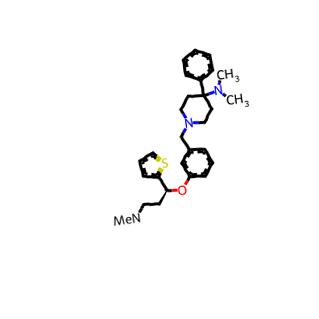 CNCC[C@H](Oc1cccc(CN2CCC(c3ccccc3)(N(C)C)CC2)c1)c1cccs1